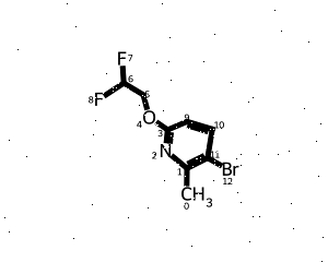 Cc1nc(OCC(F)F)ccc1Br